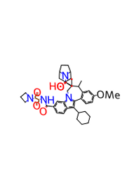 COc1ccc2c(c1)C(C)C(C)(C(=O)N1C3CCC1CC(C)(O)C3)Cn1c-2c(C2CCCCC2)c2ccc(C(=O)NS(=O)(=O)N3CCC3)cc21